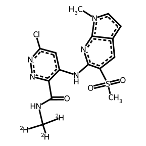 [2H]C([2H])([2H])NC(=O)c1nnc(Cl)cc1Nc1nc2c(ccn2C)cc1S(C)(=O)=O